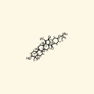 CC(C)C1=C2[C@H]3CC[C@@H]4[C@@]5(C)CC[C@H](O)C(C)(C)[C@@H]5CC[C@@]4(C)[C@]3(C)CC[C@@]2(C(=O)N2CCC(O[Si](C)(C)C(C)(C)C)CC2)CC1=O